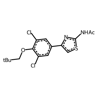 CC(=O)Nc1nc(-c2cc(Cl)c(OCC(C)(C)C)c(Cl)c2)cs1